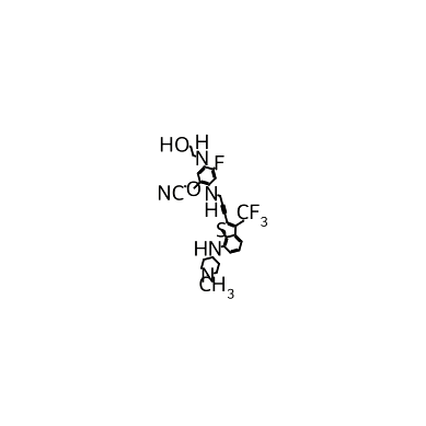 CN1CCC(Nc2cccc3c(CC(F)(F)F)c(C#CCNc4cc(F)c(NCCO)cc4OCC#N)sc23)CC1